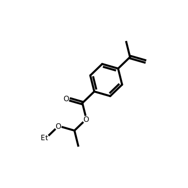 C=C(C)c1ccc(C(=O)OC(C)OCC)cc1